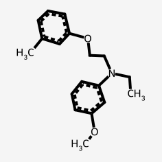 CCN(CCOc1cccc(C)c1)c1cccc(OC)c1